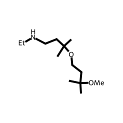 CCNCCC(C)(C)OCCC(C)(C)OC